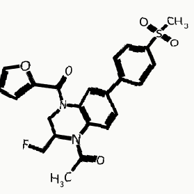 CC(=O)N1c2ccc(-c3ccc(S(C)(=O)=O)cc3)cc2N(C(=O)c2ccco2)CC1CF